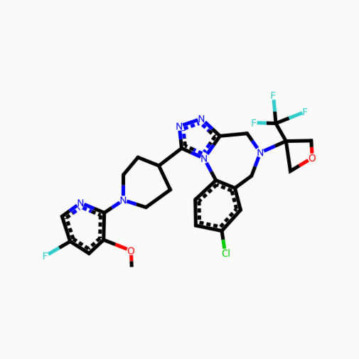 COc1cc(F)cnc1N1CCC(c2nnc3n2-c2ccc(Cl)cc2CN(C2(C(F)(F)F)COC2)C3)CC1